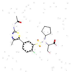 CC(=O)Nc1nc(C)c(-c2ccc(Cl)c(S(=O)(=O)N(C3CCCC3)C(CO)C(=O)O)c2)s1